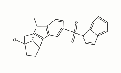 Cn1c2c(c3cc(S(=O)(=O)n4ccc5ccccc54)ccc31)C1CCC(Cl)(C2)N1